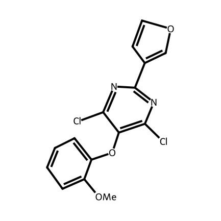 COc1ccccc1Oc1c(Cl)nc(-c2ccoc2)nc1Cl